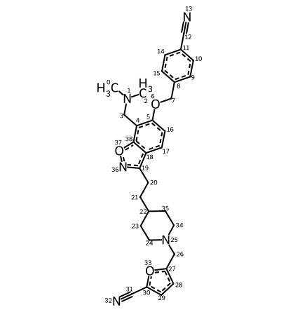 CN(C)Cc1c(OCc2ccc(C#N)cc2)ccc2c(CCC3CCN(Cc4ccc(C#N)o4)CC3)noc12